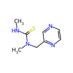 CNC(=S)N(C)Cc1cnccn1